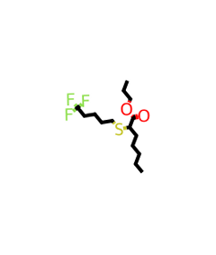 CCCCCC(SCCCCC(F)(F)F)C(=O)OCCC